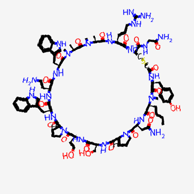 CCCC[C@H]1C(=O)N[C@@H](CC(N)=O)C(=O)N2CCC[C@H]2C(=O)N[C@@H](CO)C(=O)N[C@@H](CCO)C(=O)N2CCC[C@H]2C(=O)N[C@@H](Cc2c[nH]c3ccccc23)C(=O)N[C@@H](CCN)C(=O)N[C@@H](Cc2c[nH]c3ccccc23)C(=O)N(C)[C@@H](C)C(=O)N(C)[C@@H](C)C(=O)N[C@@H](CCCNC(=N)N)C(=O)NC(C(=O)NCC(N)=O)CSCC(=O)N[C@@H](Cc2ccc(O)cc2)C(=O)N1C